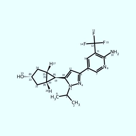 CC(C)n1nc(-c2cnc(N)c(C(F)(F)F)c2)cc1[C@H]1[C@@H]2C[C@H](O)C[C@@H]21